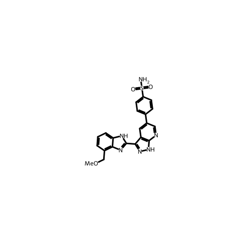 COCc1cccc2[nH]c(-c3n[nH]c4ncc(-c5ccc(S(N)(=O)=O)cc5)cc34)nc12